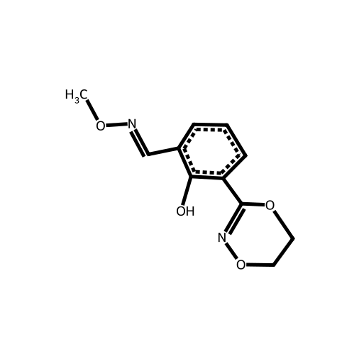 CON=Cc1cccc(C2=NOCCO2)c1O